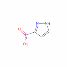 O=[PH](O)c1cc[nH]n1